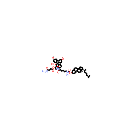 COc1ccc(C(c2ccccc2)(c2ccc(OC)cc2)C(O)C2CN(C(=O)CCCCCNC(=O)OC3CC[C@@]4(C)C(=CCC5C4CC[C@@]4(C)C5CC[C@@H]4C(C)CCCC(C)C)C3)CC2OC(=O)CCC(N)=O)cc1